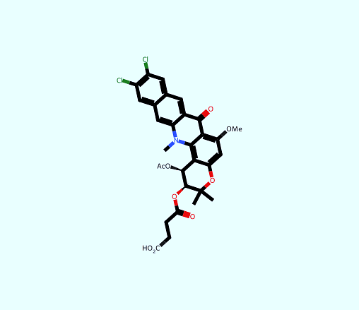 COc1cc2c(c3c1c(=O)c1cc4cc(Cl)c(Cl)cc4cc1n3C)[C@H](OC(C)=O)[C@H](OC(=O)CCC(=O)O)C(C)(C)O2